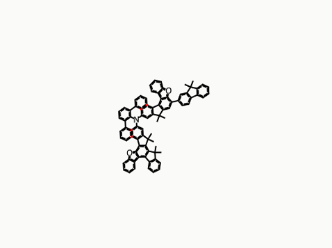 CC1(C)c2ccccc2-c2ccc(-c3cc4c(c5c3oc3ccccc35)-c3ccc(N(c5ccc6c(c5)C(C)(C)c5c7c(c8c(oc9ccccc98)c5-6)-c5ccccc5C7(C)C)c5c(-c6ccccc6)cccc5-c5ccccc5)cc3C4(C)C)cc21